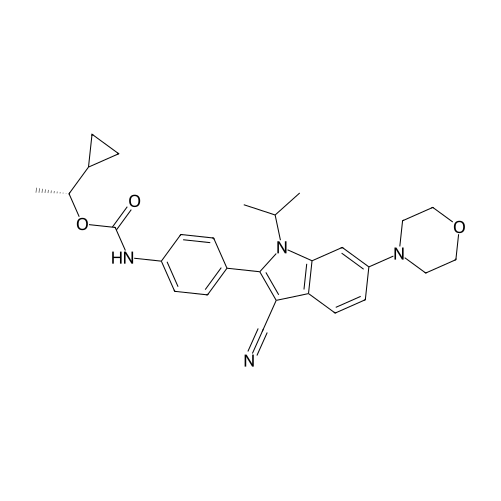 CC(C)n1c(-c2ccc(NC(=O)O[C@H](C)C3CC3)cc2)c(C#N)c2ccc(N3CCOCC3)cc21